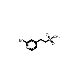 CS(=O)(=O)CCc1ccnc(Br)c1